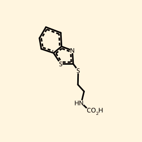 O=C(O)NCCSc1nc2ccccc2s1